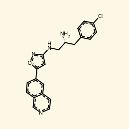 N[C@@H](CNc1cc(-c2ccc3cnccc3c2)on1)Cc1ccc(Cl)cc1